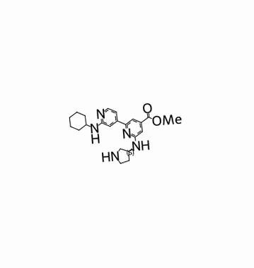 COC(=O)c1cc(N[C@H]2CCNC2)nc(-c2ccnc(NC3CCCCC3)c2)c1